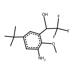 COc1c(N)cc(C(C)(C)C)cc1C(O)C(F)(F)F